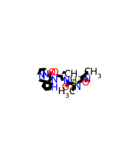 CC[C@H](CNC(=O)c1sc(-c2cc(C)no2)nc1C)C(=O)N[C@@H]1C(=O)N2CCCN2Cc2ccccc21